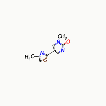 Cc1csc(-c2cnc(=O)n(C)c2)n1